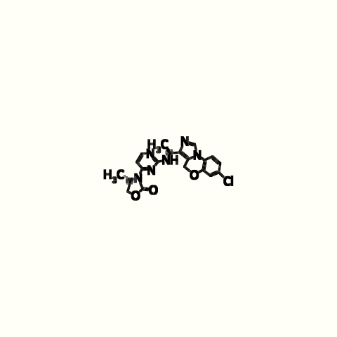 C[C@H](Nc1nccc(N2C(=O)OC[C@@H]2C)n1)c1ncn2c1COc1cc(Cl)ccc1-2